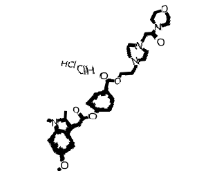 COc1ccc2c(c1)c(CC(=O)Oc1ccc(C(=O)OCCN3CCN(CC(=O)N4CCOCC4)CC3)cc1)c(C)n2C.Cl.Cl